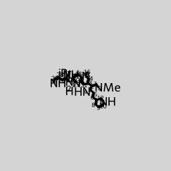 CN/C=C(\C(=N)/C=C/C1=CC=CNC1)C1=CN(C)C2C=CC(N/C(N)=C/C(=C\N)C(C)C)=NC2=C1